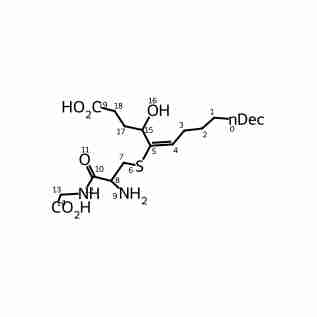 CCCCCCCCCCCCC/C=C(/SCC(N)C(=O)NCC(=O)O)C(O)CCC(=O)O